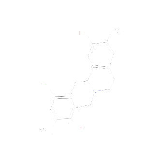 COc1cc2c(cc1O)C1Cc3c(Cl)cc(OC)c(O)c3CN1CC2